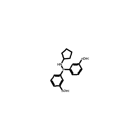 CCCCCCCCCCc1cccc(P(NC2CCCC2)c2cccc(CCCCCCCCCC)c2)c1